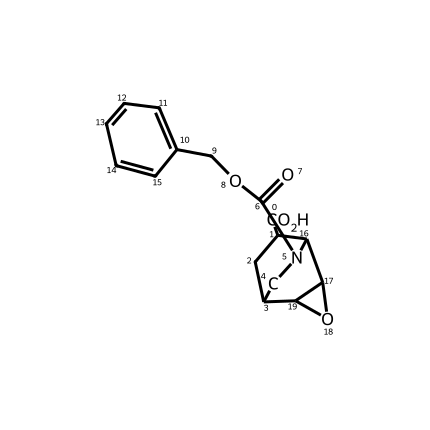 O=C(O)C1CC2CN(C(=O)OCc3ccccc3)C1C1OC21